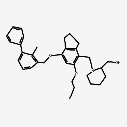 Cc1c(COc2cc(OCCF)c(CN3CCCCC3CO)c3c2CCC3)cccc1-c1ccccc1